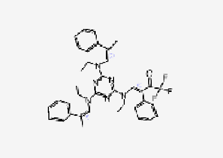 CCN(/C=C(/C)c1ccccc1)c1nc(N(/C=C(/C)c2ccccc2)CC)nc(N(/C=C(/C(=O)C(F)(F)F)c2ccccc2)CC)n1